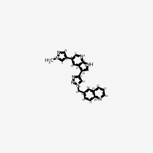 Cn1cc(-c2cnc3[nH]cc(-c4cn(Cc5ccc6ncccc6c5)nn4)c3c2)cn1